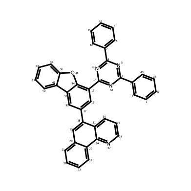 c1ccc(-c2nc(-c3ccccc3)nc(-c3cc(-c4cc5ccccc5c5ncccc45)cc4c3oc3ccccc34)n2)cc1